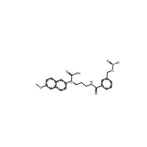 COc1ccc2cc([C@H](CCCNC(=O)c3cccc(CO[N+](=O)[O-])c3)C(=O)O)ccc2c1